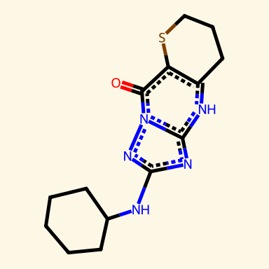 O=c1c2c([nH]c3nc(NC4CCCCC4)nn13)CCCS2